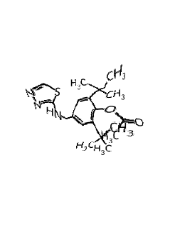 CC(=O)Oc1c(C(C)(C)C)cc(Nc2nncs2)cc1C(C)(C)C